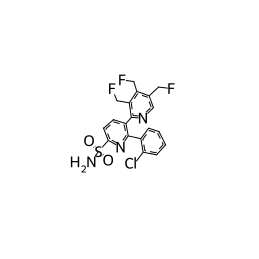 NS(=O)(=O)c1ccc(-c2ncc(CF)c(CF)c2CF)c(-c2ccccc2Cl)n1